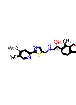 COc1cc(-c2ncc(CNC[C@H](O)c3ccc4c(c3C)COC4=O)s2)ncc1C#N